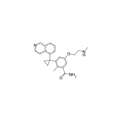 CNCCOc1cc(C(N)=O)c(C)c(C2(c3cccc4cnccc34)CC2)c1